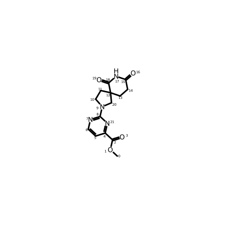 COC(=O)c1ccnc(N2CCC3(CCC(=O)NC3=O)C2)n1